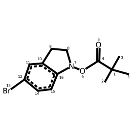 CC(C)(C)C(=O)ON1CCc2cc(Br)ccc21